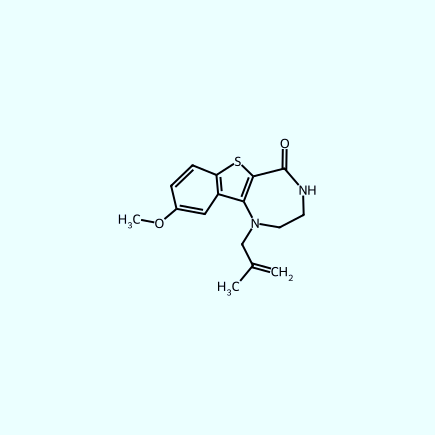 C=C(C)CN1CCNC(=O)c2sc3ccc(OC)cc3c21